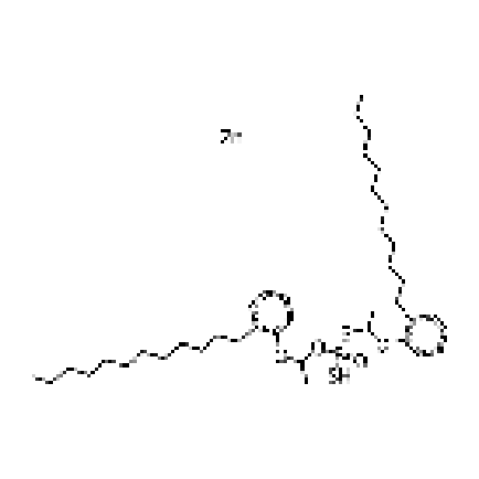 CCCCCCCCCCCCc1ccccc1OC(C)OP(=O)(S)SC(C)Oc1ccccc1CCCCCCCCCCCC.[Zn]